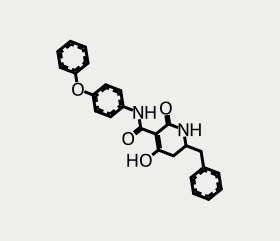 O=C(Nc1ccc(Oc2ccccc2)cc1)C1=C(O)CC(Cc2ccccc2)NC1=O